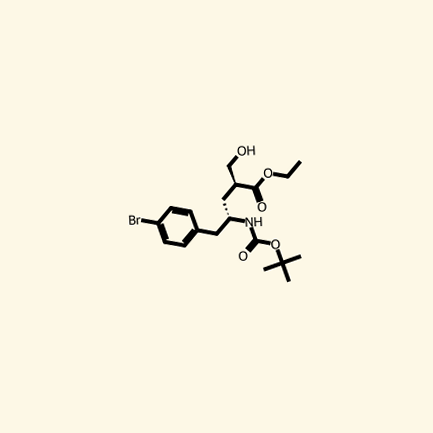 CCOC(=O)[C@H](CO)C[C@@H](Cc1ccc(Br)cc1)NC(=O)OC(C)(C)C